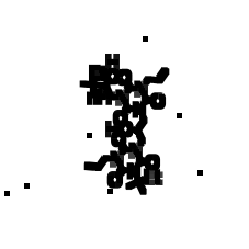 C=CCn1c(=O)n(CC(O)Cn2c(=O)n(CC=C)c(=O)n(C(C)(C)CC)c2=O)c(=O)n(CC(O)C(C)(CC)CCC)c1=O